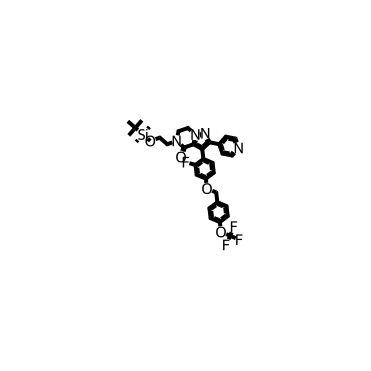 CC(C)(C)[Si](C)(C)OCCN1CCn2nc(-c3ccncc3)c(-c3ccc(OCc4ccc(OC(F)(F)F)cc4)cc3F)c2C1=O